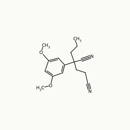 CCCC(C#N)(CCC#N)c1cc(OC)cc(OC)c1